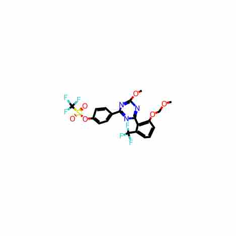 COCOc1cccc(C(F)(F)F)c1-c1nc(OC)nc(-c2ccc(OS(=O)(=O)C(F)(F)F)cc2)n1